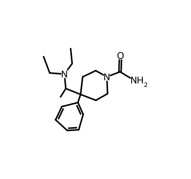 CCN(CC)C(C)C1(c2ccccc2)CCN(C(N)=O)CC1